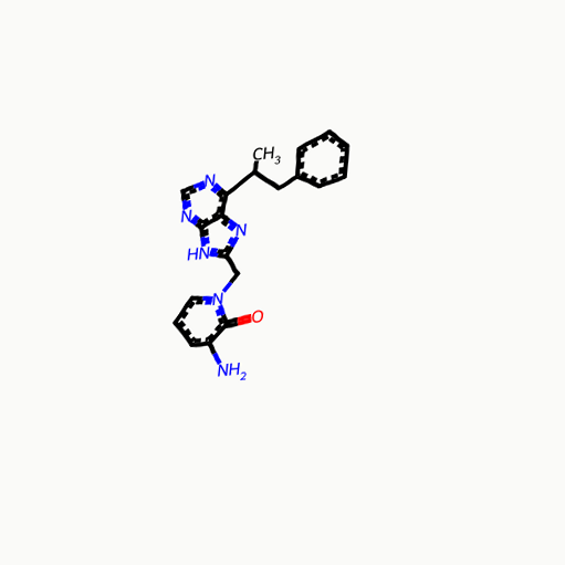 CC(Cc1ccccc1)c1ncnc2[nH]c(Cn3cccc(N)c3=O)nc12